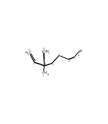 [CH2]C(C)CCCC(C)(C)C=C